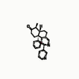 C[C@@H]1C(=O)CC[C@]2(c3ccccc3)c3nc(-c4cccnc4)ncc3CC[C@@H]12